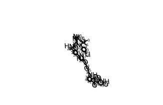 Cc1sc2c(c1C)C(c1ccc(Cl)cc1)=N[C@@H](CC(=O)N[C@@H](C)c1ccc(-c3ncc(OCCOCCNc4cccc5c4C(=O)N(C4CCC(=O)NC4=O)C5=O)cn3)cc1)c1nnc(C)n1-2